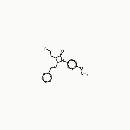 COc1ccc(N2C(=O)[C@H](CCF)[C@@H]2C=Cc2ccccc2)cc1